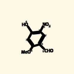 COc1cc(O)c([N+](=O)[O-])cc1C=O